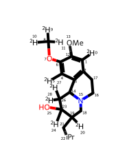 [2H]c1c2c(c([2H])c(OC([2H])([2H])[2H])c1OC)C1N(CC2)CC([2H])(CC(C)C)C([2H])(O)C1([2H])[2H]